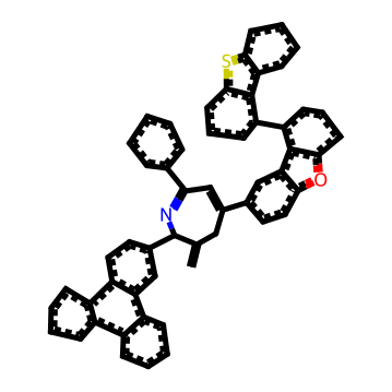 C=C1CC(c2ccc3oc4cccc(-c5cccc6sc7ccccc7c56)c4c3c2)=CC(c2ccccc2)=NC1c1ccc2c3ccccc3c3ccccc3c2c1